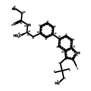 CC(C)(CO)Cc1c(I)[nH]c2ccc(-c3cccc(C[C@H](NC(=O)OC(C)(C)C)C(=O)O)c3)cc12